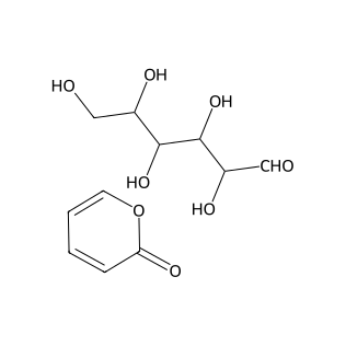 O=CC(O)C(O)C(O)C(O)CO.O=c1cccco1